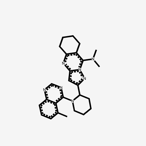 Cc1cccc2ncnc(N3CCCCC3c3cc4nc5c(c(N(C)C)n4n3)CCCC5)c12